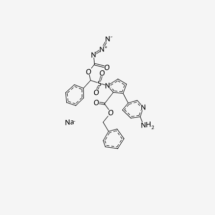 [N-]=[N+]=NC(=O)OC(c1ccccc1)S(=O)(=O)n1ccc(-c2ccc(N)nc2)c1C(=O)OCc1ccccc1.[Na]